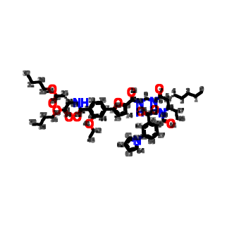 CCCCC[C@@H](C(=O)NCNC(=O)c1ccc(-c2ccc(C(=O)N[C@@H](CC(=O)OCCCC)C(=O)OCCCC)c(OCC)c2)o1)[C@@H](CC)N(C=O)OC(=O)c1cccc(-n2cccc2)c1